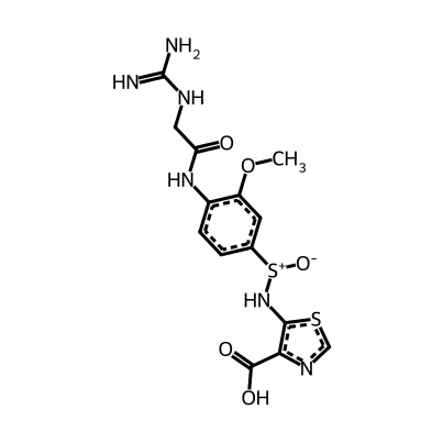 COc1cc([S+]([O-])Nc2scnc2C(=O)O)ccc1NC(=O)CNC(=N)N